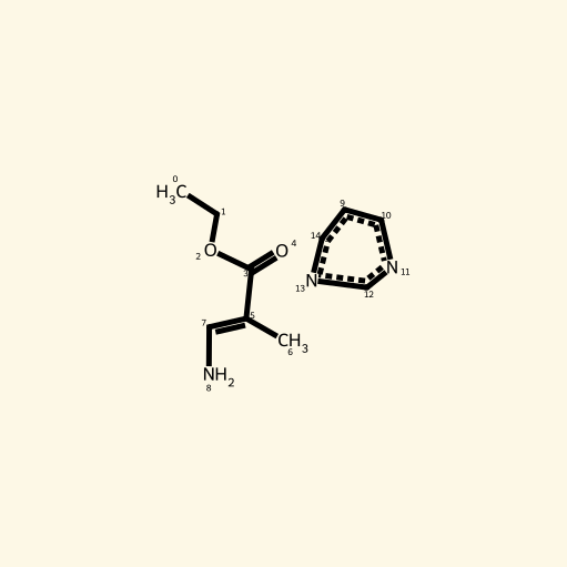 CCOC(=O)C(C)=CN.c1cncnc1